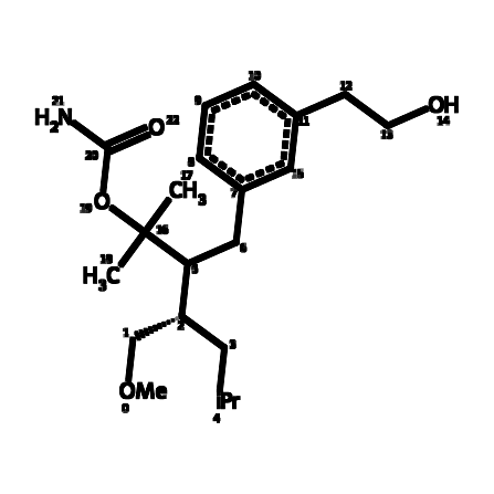 COC[C@@H](CC(C)C)C(Cc1cccc(CCO)c1)C(C)(C)OC(N)=O